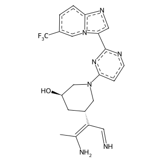 C/C(N)=C(/C=N)[C@@H]1C[C@@H](O)CN(c2ccnc(-c3cnc4ccc(C(F)(F)F)cn34)n2)C1